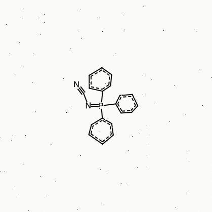 N#CN=P(c1ccccc1)(c1ccccc1)c1ccccc1